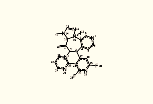 C=C1C2C(c3ccncc3[N+]3(I)N=CN(C)C13)c1cc(F)nc(F)c1-c1nccc[n+]12